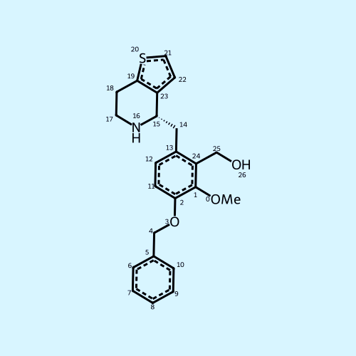 COc1c(OCc2ccccc2)ccc(C[C@@H]2NCCc3sccc32)c1CO